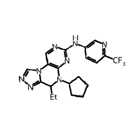 CCC1c2nncn2-c2cnc(Nc3ccc(C(F)(F)F)nc3)nc2N1C1CCCC1